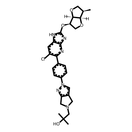 C[C@@H]1CO[C@H]2[C@@H]1OC[C@H]2Oc1nc2nc(-c3ccc(-n4cc5c(n4)CN(CC(C)(C)O)C5)cc3)c(Cl)cc2[nH]1